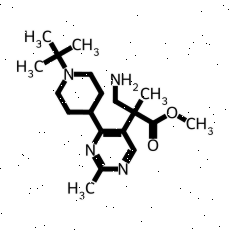 COC(=O)C(C)(CN)c1cnc(C)nc1C1CCN(C(C)(C)C)CC1